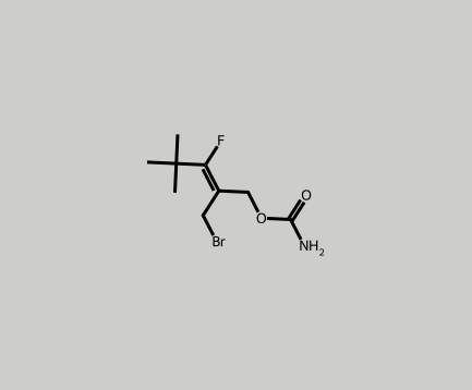 CC(C)(C)C(F)=C(CBr)COC(N)=O